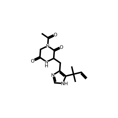 C=CC(C)(C)c1[nH]cnc1CC1NC(=O)CN(C(C)=O)C1=O